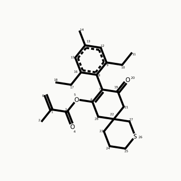 C=C(C)C(=O)OC1=C(c2c(CC)cc(C)cc2CC)C(=O)CC2(CCCSC2)C1